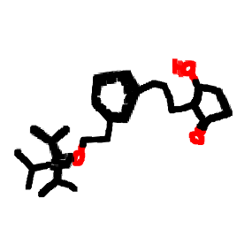 CC(C)[Si](OCCc1cccc(CCC2=C(O)CCC2=O)c1)(C(C)C)C(C)C